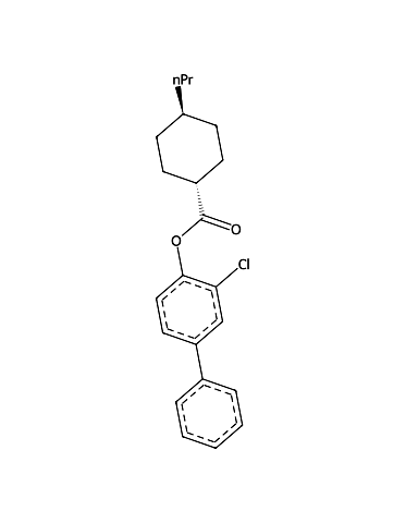 CCC[C@H]1CC[C@H](C(=O)Oc2ccc(-c3ccccc3)cc2Cl)CC1